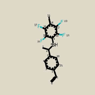 C=Cc1ccc(C(C)Bc2c(F)c(F)c(C)c(F)c2F)cc1